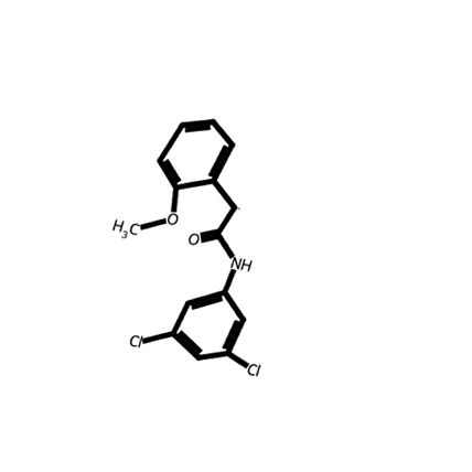 COc1ccccc1[CH]C(=O)Nc1cc(Cl)cc(Cl)c1